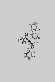 CC(Cl)C(=O)Oc1cc(-c2ccccc2)ccc1CC(=O)OCc1ccccc1